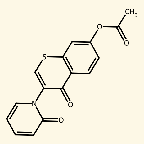 CC(=O)Oc1ccc2c(=O)c(-n3ccccc3=O)csc2c1